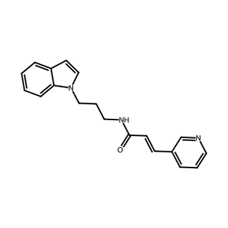 O=C(/C=C/c1cccnc1)NCCCn1ccc2ccccc21